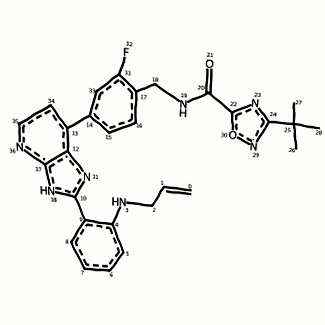 C=CCNc1ccccc1-c1nc2c(-c3ccc(CNC(=O)c4nc(C(C)(C)C)no4)c(F)c3)ccnc2[nH]1